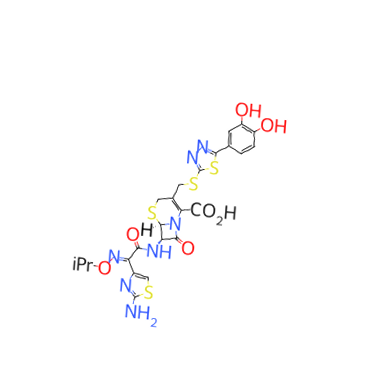 CC(C)O/N=C(/C(=O)N[C@@H]1C(=O)N2C(C(=O)O)=C(CSc3nnc(-c4ccc(O)c(O)c4)s3)CS[C@H]12)c1csc(N)n1